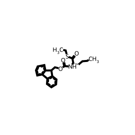 CCCC[C@H](NC(=O)OCC1c2ccccc2-c2ccccc21)C(=O)SCC